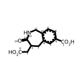 O=C(O)CC1Cc2cc(C(=O)O)ccc2CNC1=O